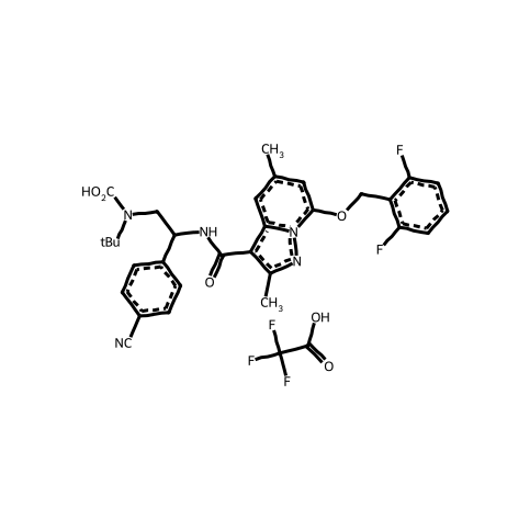 Cc1cc(OCc2c(F)cccc2F)n2nc(C)c(C(=O)NC(CN(C(=O)O)C(C)(C)C)c3ccc(C#N)cc3)c2c1.O=C(O)C(F)(F)F